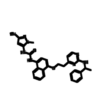 CC(Nc1nccc(CCOc2ccc(NC(=O)Nc3cc(C(C)(C)C)nn3C)c3ccccc23)n1)c1ccccc1